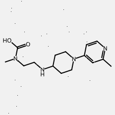 Cc1cc(N2CCC(NCCN(C)C(=O)O)CC2)ccn1